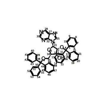 O[C@H]1[C@@H](OC(c2ccccc2)(c2ccccc2)c2ccccc2)[C@H](n2cnc3cncnc32)O[C@@H]1COC(c1ccccc1)(c1ccccc1)c1ccccc1